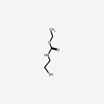 CCOC(=O)NCCS